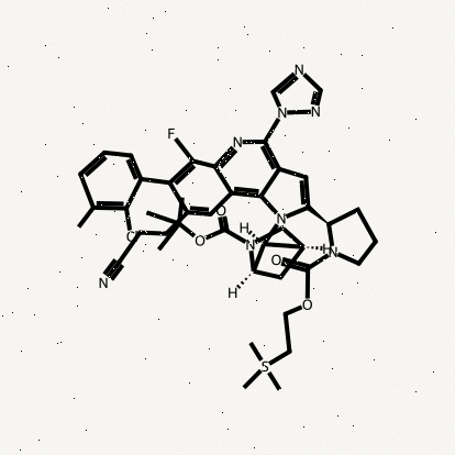 Cc1cccc(-c2c(CCC#N)cc3c(nc(-n4cncn4)c4cc([C@H]5CCCN5C(=O)OCCS(C)(C)C)n([C@H]5[C@@H]6C[C@H]5N(C(=O)OC(C)(C)C)C6)c43)c2F)c1Cl